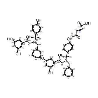 CC(C)(c1ccc(O)cc1)N(Cc1ccccc1)C[C@H](O)c1cc(O)cc(O)c1.CC(C)(c1ccc(O)cc1)N(Cc1ccccc1)C[C@H](O)c1cc(O)cc(O)c1.O=C(O)/C=C/C(=O)O